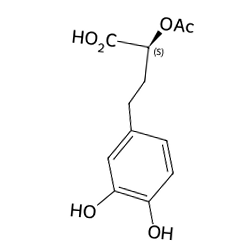 CC(=O)O[C@@H](CCc1ccc(O)c(O)c1)C(=O)O